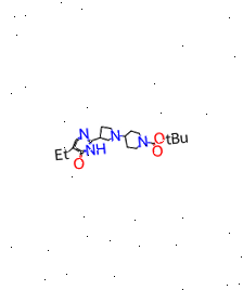 CCc1cnc(C2CCN(C3CCN(C(=O)OC(C)(C)C)CC3)C2)[nH]c1=O